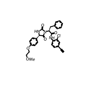 C#Cc1ccc(NC(=O)[C@H](Cc2ccccc2)N2C(=O)N[C@H](c3ccc(OCCOC)cc3)C2=O)c(Cl)c1